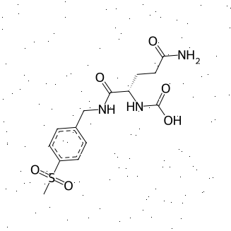 CS(=O)(=O)c1ccc(CNC(=O)[C@H](CCC(N)=O)NC(=O)O)cc1